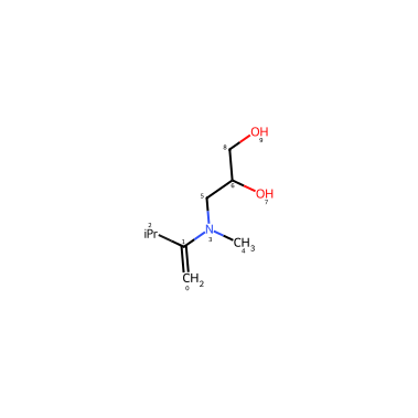 C=C(C(C)C)N(C)CC(O)CO